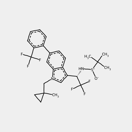 CC1(Cn2cc([C@H](N[S+]([O-])C(C)(C)C)C(F)(F)F)c3ccc(-c4ccccc4C(F)(F)F)cc32)CC1